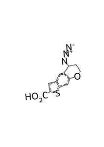 [N-]=[N+]=NC1CCOc2cc3sc(C(=O)O)cc3cc21